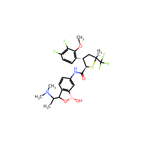 COc1c([C@@H]2C[C@](C)(C(F)(F)F)S[C@H]2C(=O)Nc2ccc3c(c2)B(O)OC3C(C)N(C)C)ccc(F)c1F